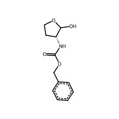 O=C(N[C@@H]1CCOC1O)OCc1ccccc1